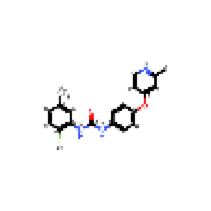 Cc1cc(Oc2ccc(NC(=O)Nc3cc(C(F)(F)F)ccc3F)cc2)ccn1